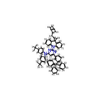 CC(C)(C)c1ccc2c(c1)c1cc(C(C)(C)C)ccc1n2-c1cc(-c2cccc([Si](c3ccccc3)(c3ccccc3)c3ccccc3)c2)nc(N2c3ccccc3C3(CC3CC3CC4CCC43)c3ccccc32)n1